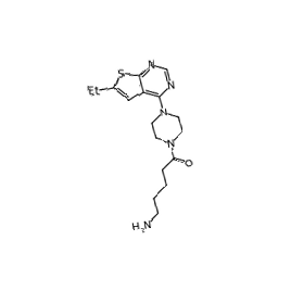 CCc1cc2c(N3CCN(C(=O)CCCCN)CC3)ncnc2s1